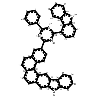 c1ccc(-c2nc(-c3ccc4c(ccc5ccc6cc7sc8ccccc8c7cc6c54)c3)nc(-c3cccc4oc5ccccc5c34)n2)cc1